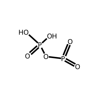 O=P(=O)OP(=O)(O)O